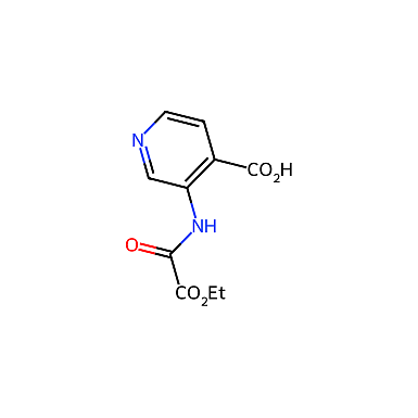 CCOC(=O)C(=O)Nc1cnccc1C(=O)O